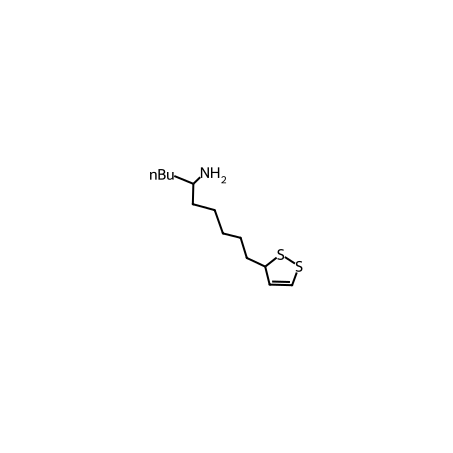 CCCCC(N)CCCCCC1C=CSS1